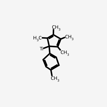 CC1=C(C)[C]([Ti])(c2ccc(C)cc2)C(C)=C1C